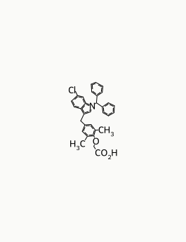 Cc1cc(Cc2cn(C(c3ccccc3)c3ccccc3)c3cc(Cl)ccc23)cc(C)c1OCC(=O)O